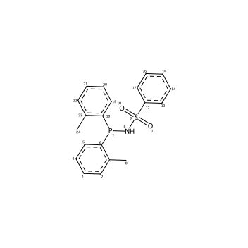 Cc1ccccc1P(NS(=O)(=O)c1ccccc1)c1ccccc1C